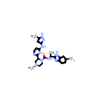 Cc1cc(Nc2ccnc(C3CN(C)CCN3C(=O)NC(C)c3nc4ccc(C(F)(F)F)cc4[nH]3)n2)n[nH]1